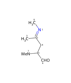 C/N=C(\C)CC(C=O)NC